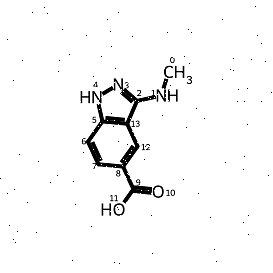 CNc1n[nH]c2ccc(C(=O)O)cc12